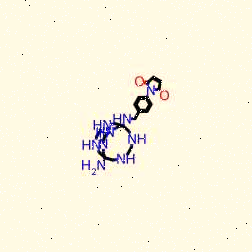 NC12CNCCNCC(NCc3ccc(N4C(=O)C=CC4=O)cc3)(CNCCNC1)CNCCNC2